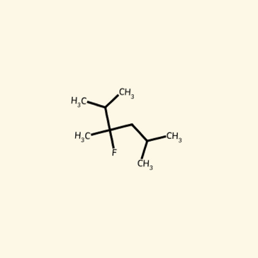 CC(C)CC(C)(F)C(C)C